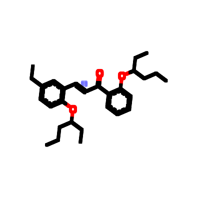 CCCC(CC)Oc1ccc(CC)cc1/C=C/C(=O)c1ccccc1OC(CC)CCC